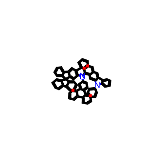 c1ccc(-c2cc3c(cc2N(c2ccc4c5ccccc5c5ccccc5c4c2)c2cccc4cc5c6ccccc6n(-c6ccccc6)c5cc24)C2(c4ccccc4-c4ccccc42)c2ccccc2-3)cc1